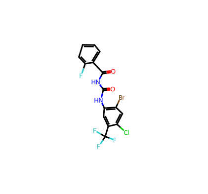 O=C(NC(=O)c1ccccc1F)Nc1cc(C(F)(F)F)c(Cl)cc1Br